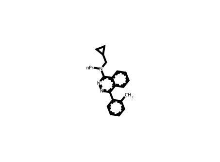 CCCN(CC1CC1)c1nnc(-c2ccccc2C)c2ccccc12